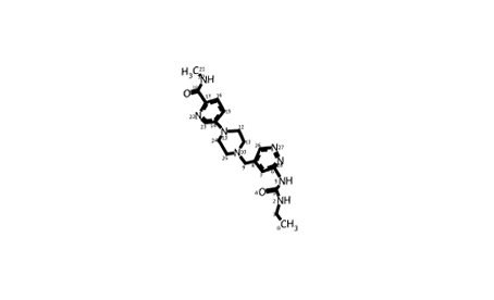 CCNC(=O)Nc1cc(CN2CCN(c3ccc(C(=O)NC)nc3)CC2)cnn1